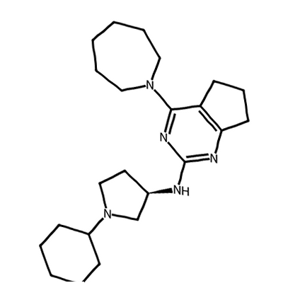 C1CCC(N2CC[C@@H](Nc3nc4c(c(N5CCCCCC5)n3)CCC4)C2)CC1